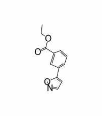 CCOC(=O)c1cccc(-c2ccno2)c1